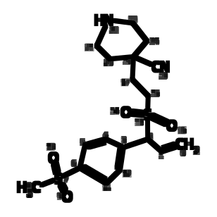 C=CC(c1ccc(S(C)(=O)=O)cc1)S(=O)(=O)CCC1(C#N)CCNCC1